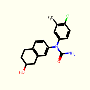 NC(=O)N(c1ccc2c(c1)CC(O)CC2)c1ccc(Cl)c(C(F)(F)F)c1